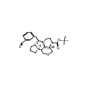 CC(C)(C)OC(=O)N1CCN(C(=O)Cc2cccc(C#N)c2)[C@@H]2C(N3CCCC3)COC[C@H]21